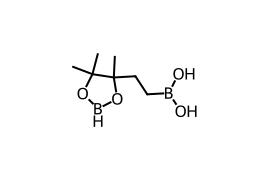 CC1(C)OBOC1(C)CCB(O)O